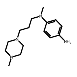 CN1CCN(CCCN(C)c2ccc(N)cc2)CC1